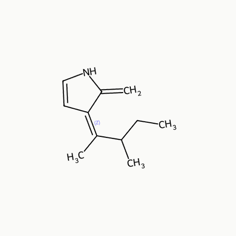 C=c1[nH]cc/c1=C(\C)C(C)CC